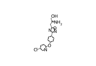 N[C@H](CO)Cc1nc(-c2ccc(Oc3ccc(Cl)cn3)cc2)no1